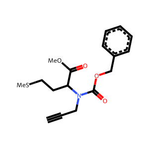 C#CCN(C(=O)OCc1ccccc1)C(CCSC)C(=O)OC